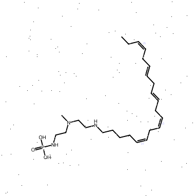 CC/C=C\CC=CCC=CC/C=C\C/C=C\CCCCNCCN(C)CCNP(=O)(O)O